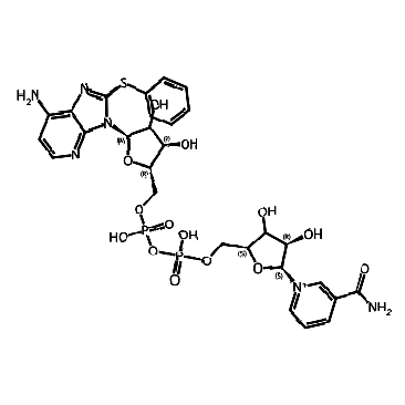 NC(=O)c1ccc[n+]([C@H]2O[C@@H](COP(=O)(O)OP(=O)(O)OC[C@H]3O[C@@H](n4c(Sc5ccccc5)nc5c(N)ccnc54)C(O)[C@H]3O)C(O)[C@H]2O)c1